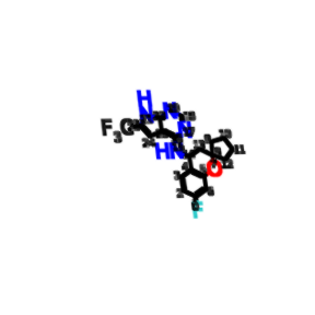 Fc1ccc2c(c1)OC1(CCCC1)CC2Nc1ncnc2[nH]c(C(F)(F)F)cc12